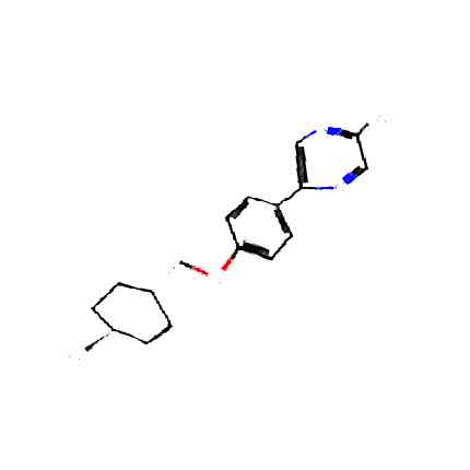 CCCCCCCCCc1cnc(-c2ccc(OC[C@H]3CC[C@H](CCC)CC3)cc2)cn1